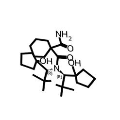 CC(C)(C)[C@@H](N(C(=O)C1(C(N)=O)CCCCC1)[C@H](C(C)(C)C)C1(O)CCCC1)C1(O)CCCC1